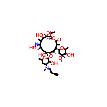 C#CCCN(C)C1CC(C)OC(O[C@@H]2[C@@H](C)[C@H](C3C[C@@](C)(OC)[C@@H](O)C(C)O3)C(C)C(=O)O[C@H](CC)[C@@](C)(O)C(O)C(C)/C(=N/O)[C@H](C)C[C@@]2(C)O)[C@@H]1O